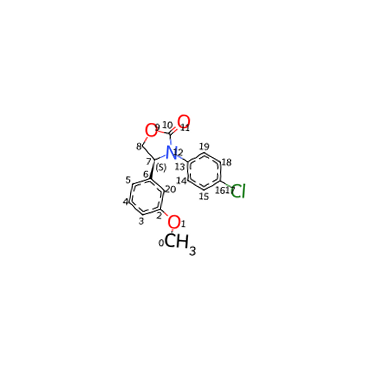 COc1cccc([C@H]2COC(=O)N2c2ccc(Cl)cc2)c1